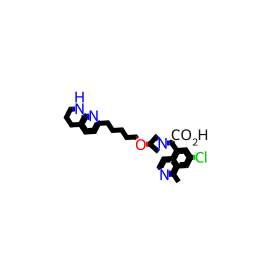 Cc1nccc2c(C(C(=O)O)N3CC(OCCCCCc4ccc5c(n4)NCCC5)C3)cc(Cl)cc12